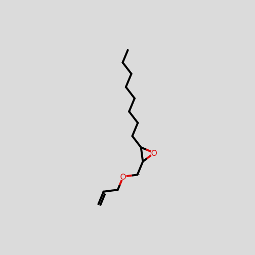 C=CCO[CH]C1OC1CCCCCCCC